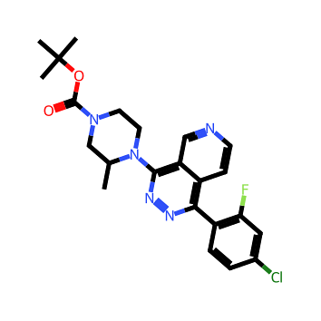 CC1CN(C(=O)OC(C)(C)C)CCN1c1nnc(-c2ccc(Cl)cc2F)c2ccncc12